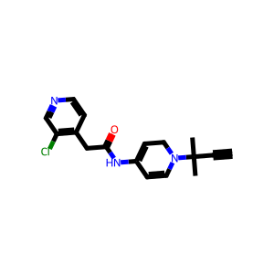 C#CC(C)(C)N1C=CC(NC(=O)Cc2ccncc2Cl)=CC1